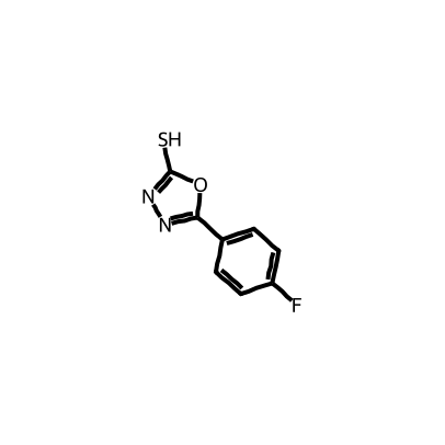 Fc1ccc(-c2nnc(S)o2)cc1